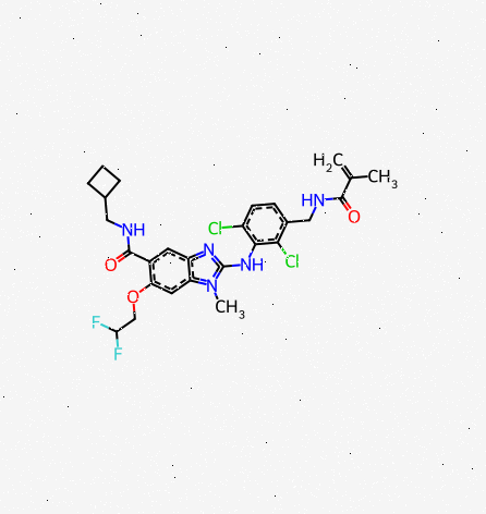 C=C(C)C(=O)NCc1ccc(Cl)c(Nc2nc3cc(C(=O)NCC4CCC4)c(OCC(F)F)cc3n2C)c1Cl